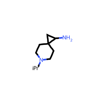 CC(C)N1CCC2(CC1)CC2N